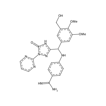 COc1cc(C(Nc2ccc(C(=N)N)cc2)c2nn(-c3ncccn3)c(=O)[nH]2)cc(CO)c1OC